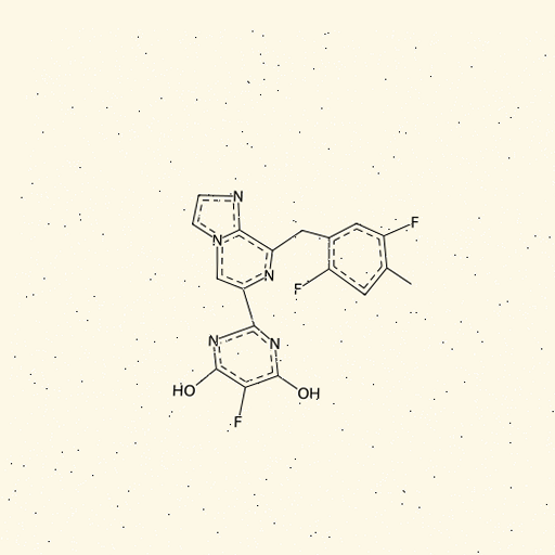 Cc1cc(F)c(Cc2nc(-c3nc(O)c(F)c(O)n3)cn3ccnc23)cc1F